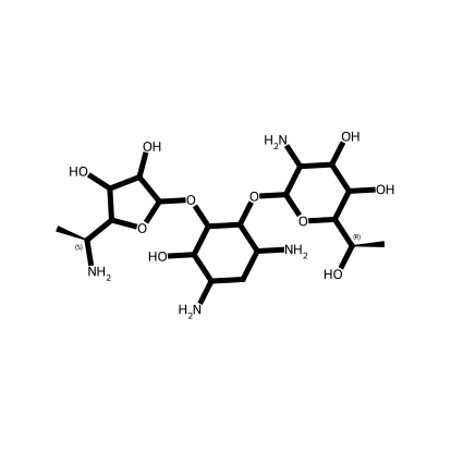 C[C@H](N)C1OC(OC2C(O)C(N)CC(N)C2OC2OC([C@@H](C)O)C(O)C(O)C2N)C(O)C1O